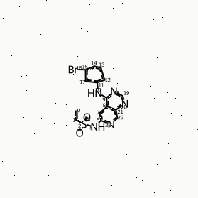 C=CS(=O)(=O)Nc1cc2c(Nc3cccc(Br)c3)ncnc2cn1